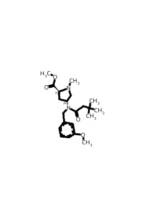 COC(=O)[C@@H]1C[C@@H](N(Cc2cccc(OC)c2)C(=O)CC(C)(C)C)CN1C